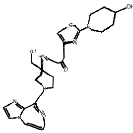 O=C(NC1(CO)CCN(c2nccn3ccnc23)C1)c1csc(N2CCC(O)CC2)n1